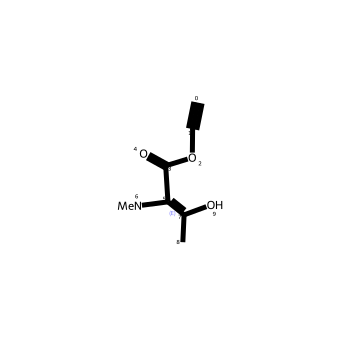 C#COC(=O)/C([NH2+][CH2-])=C(/C)O